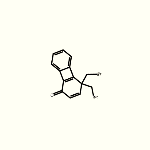 CC(C)CC1(CC(C)C)C=CC(=O)C2=C1c1ccccc12